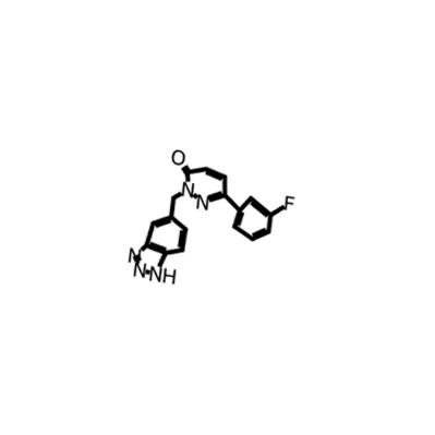 O=c1ccc(-c2cccc(F)c2)nn1Cc1ccc2[nH]nnc2c1